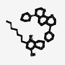 CCCCCCCc1cc(O)c2ccccc2[n+]1[O-].c1ccc(-c2ccnc3c2ccc2c(-c4ccccc4)ccnc23)cc1